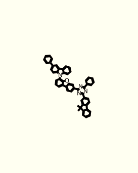 CC1(C)c2ccccc2-c2ccc(-c3nc(-c4ccccc4)nc(-c4ccc5c(c4)oc4c(-n6c7ccccc7c7cc(-c8ccccc8)ccc76)cccc45)n3)cc21